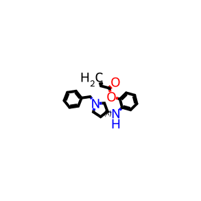 C=CC(=O)Oc1ccccc1N[C@@H]1CCN(Cc2ccccc2)C1